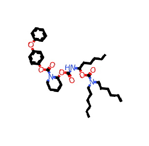 CCCCCCN(CCCCCC)C(=O)OC(CCCCC)NC(=O)OC1CCCCN1C(=O)Oc1ccc(Oc2ccccc2)cc1